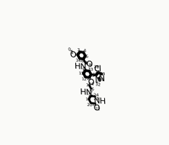 COc1cccc(C(=O)Nc2ccc(OCCN[C@@H]3CCC(=O)NC3)c(-c3c(Cl)cnn3C)c2)c1